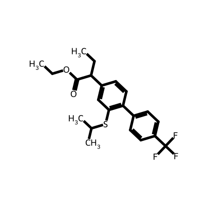 CCOC(=O)C(CC)c1ccc(-c2ccc(C(F)(F)F)cc2)c(SC(C)C)c1